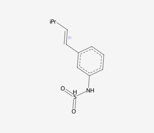 CC(C)/C=C/c1cccc(N[SH](=O)=O)c1